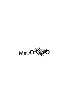 COc1ccc(-c2cnc(NC(=O)c3ccccc3)c(C)n2)cc1